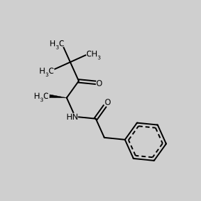 C[C@H](NC(=O)Cc1ccccc1)C(=O)C(C)(C)C